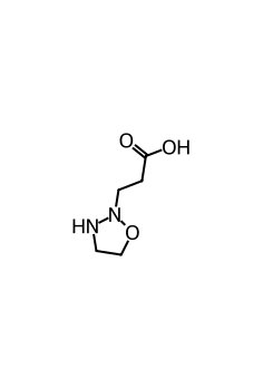 O=C(O)CCN1NCCO1